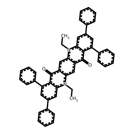 CCn1c2cc3c(=O)c4c(-c5ccccc5)cc(-c5ccccc5)cc4n(CC)c3cc2c(=O)c2c(-c3ccccc3)cc(-c3ccccc3)cc21